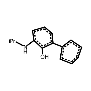 CC(C)Nc1cccc(-c2ccccc2)c1O